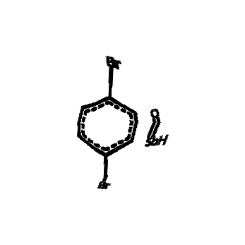 Brc1ccc(Br)cc1.[O]=[SbH]